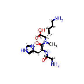 CN(C(=O)[C@H](Cc1c[nH]cn1)NC(=O)CN)[C@@H](CCCCN)C(=O)O